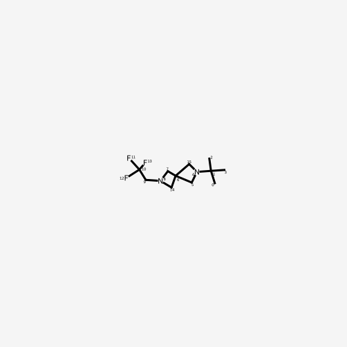 CC(C)(C)N1CC2(CN(CC(F)(F)F)C2)C1